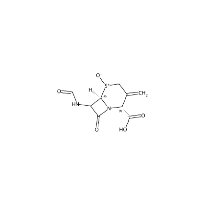 C=C1C[S+]([O-])[C@@H]2C(NC=O)C(=O)N2[C@H]1C(=O)O